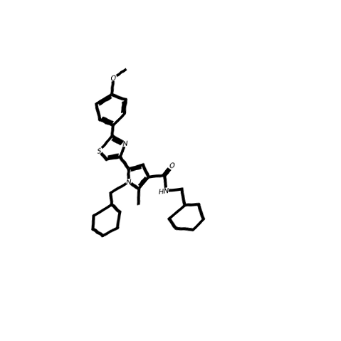 COc1ccc(-c2nc(-c3cc(C(=O)NCC4CCCCC4)c(C)n3CC3CCCCC3)cs2)cc1